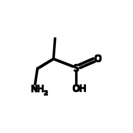 CC(CN)S(=O)O